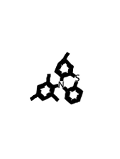 Cc1cc(C)c(N2c3ccccc3Sc3cc(C)ccc32)c(C)c1